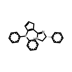 C1=CC(P(c2ccccc2)c2ccccc2)=C(C2=N[C@H](c3ccccc3)CN2)C1